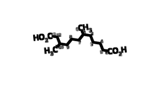 CC(CCCCC(=O)O)CCCC(C)CC(=O)O